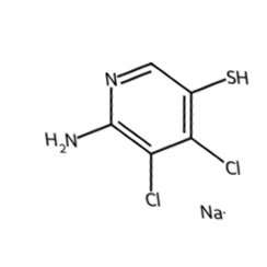 Nc1ncc(S)c(Cl)c1Cl.[Na]